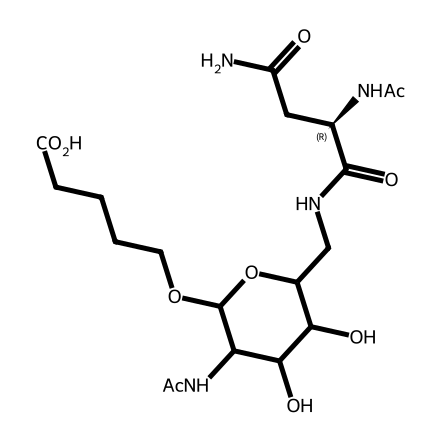 CC(=O)NC1C(OCCCCC(=O)O)OC(CNC(=O)[C@@H](CC(N)=O)NC(C)=O)C(O)C1O